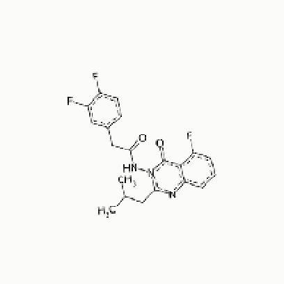 CC(C)Cc1nc2cccc(F)c2c(=O)n1NC(=O)Cc1ccc(F)c(F)c1